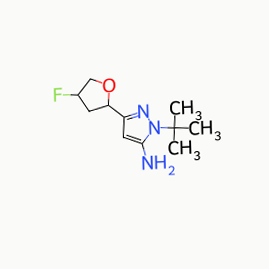 CC(C)(C)n1nc(C2CC(F)CO2)cc1N